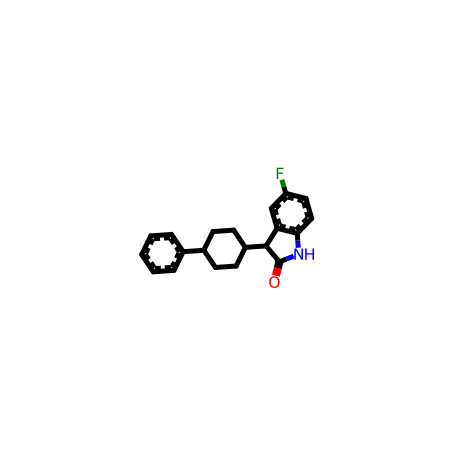 O=C1Nc2ccc(F)cc2C1C1CCC(c2ccccc2)CC1